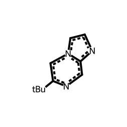 CC(C)(C)c1cn2ccnc2cn1